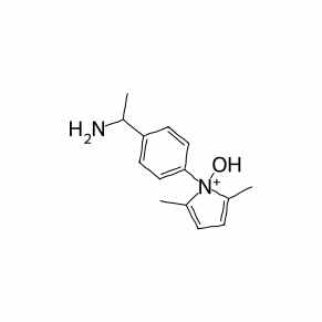 CC1=CC=C(C)[N+]1(O)c1ccc(C(C)N)cc1